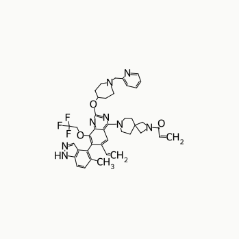 C=CC(=O)N1CC2(CCN(c3nc(OC4CCN(Cc5ccccn5)CC4)nc4c(OCC(F)(F)F)c(-c5c(C)ccc6[nH]ncc56)c(C=C)cc34)CC2)C1